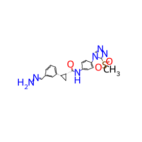 CS(=O)(=O)c1nncn1-c1ccc(NC(=O)[C@@H]2C[C@@H]2c2cccc(C=NN)c2)cc1